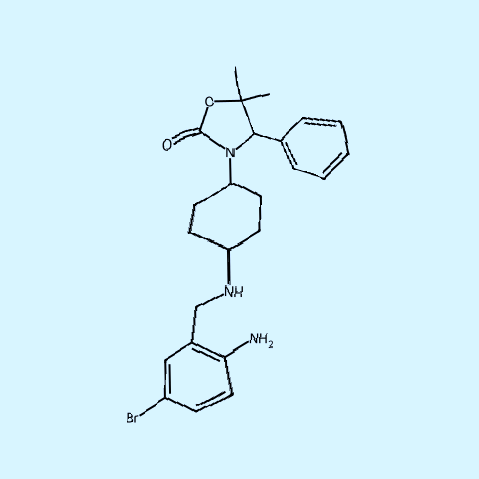 CC1(C)OC(=O)N(C2CCC(NCc3cc(Br)ccc3N)CC2)C1c1ccccc1